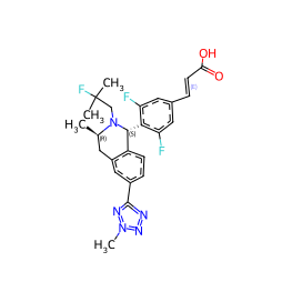 C[C@@H]1Cc2cc(-c3nnn(C)n3)ccc2[C@@H](c2c(F)cc(/C=C/C(=O)O)cc2F)N1CC(C)(C)F